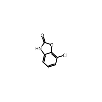 O=c1[nH]c2c[c]cc(Cl)c2o1